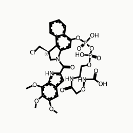 COc1cc2cc(C(=O)N3C[C@@H](CCl)c4c3cc(OP(=O)(O)OP(=O)(O)OCCNC(=O)CONC(=O)O)c3ccccc43)[nH]c2c(OC)c1OC